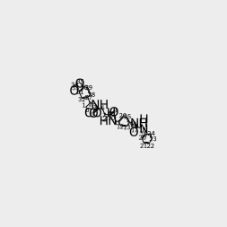 O=C(O)CC(NC(=O)CCC(=O)Nc1ccc(NC(=O)Nc2ccccc2)cc1)c1ccc2c(c1)OCO2